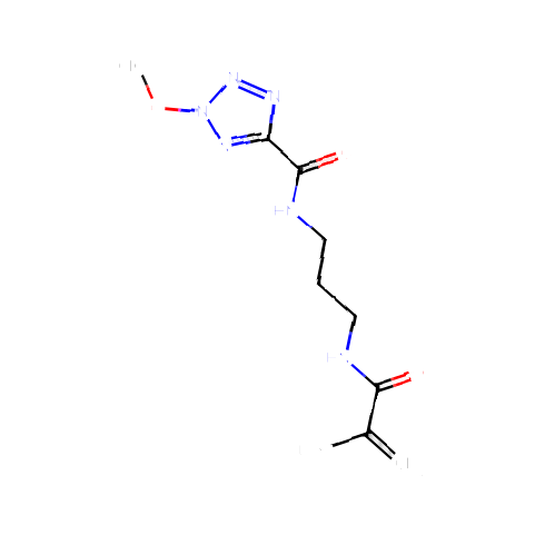 C=C(C)C(=O)NCCCNC(=O)c1nnn(OC=O)n1